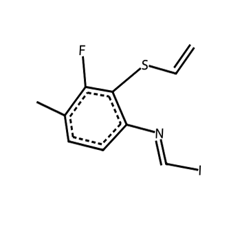 C=CSc1c(/N=C/I)ccc(C)c1F